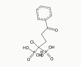 O=C(CCC(Cl)(P(=O)(O)O)P(=O)(O)O)c1ccccc1